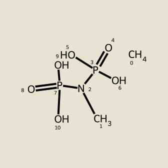 C.CN(P(=O)(O)O)P(=O)(O)O